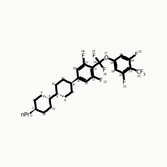 CCC[C@H]1CC[C@H]([C@H]2CC[C@H](c3cc(F)c(C(F)(F)Oc4cc(F)c(C(F)(F)F)c(F)c4)c(F)c3)CC2)CC1